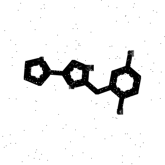 Clc1ccc(Cl)c(Cc2nc(-c3cccs3)c[nH]2)c1